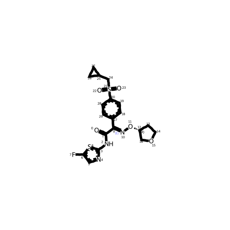 O=C(Nc1ncc(F)s1)/C(=N/O[C@@H]1CCOC1)c1ccc(S(=O)(=O)CC2CC2)cc1